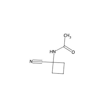 CC(=O)NC1(C#N)CCC1